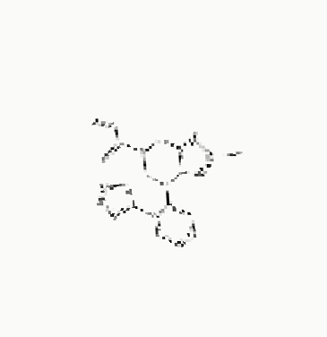 C=CC(=O)N1Cc2sc(Cl)cc2[C@@H](c2ccccc2-c2cnoc2)C1